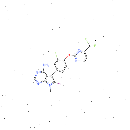 Cn1c(I)c(-c2ccc(Oc3nccc(C(F)F)n3)c(F)c2)c2c(N)ncnc21